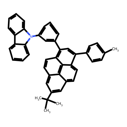 Cc1ccc(-c2cc(-c3cccc(-n4c5ccccc5c5ccccc54)c3)c3ccc4cc(C(C)(C)C)cc5ccc2c3c54)cc1